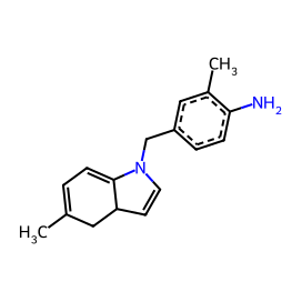 CC1=CC=C2C(C=CN2Cc2ccc(N)c(C)c2)C1